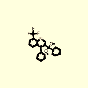 COC(OC)(c1ccccc1)c1cnc2c(C(F)(F)F)cccc2c1-c1ccccc1